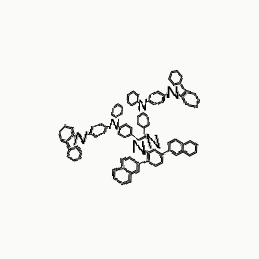 c1ccc(N(c2ccc(-c3nc4c(-c5ccc6ccccc6c5)ccc(-c5ccc6ccccc6c5)c4nc3-c3ccc(N(c4ccccc4)c4ccc(-n5c6ccccc6c6ccccc65)cc4)cc3)cc2)c2ccc(-n3c4ccccc4c4ccccc43)cc2)cc1